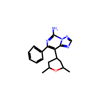 CC1CC(c2c(-c3ccccc3)nc(N)n3ncnc23)CC(C)O1